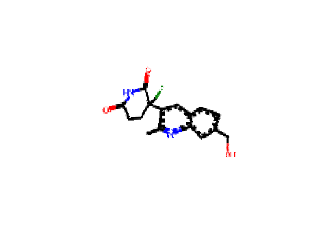 Cc1nc2cc(CO)ccc2cc1C1(F)CCC(=O)NC1=O